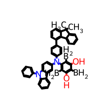 Bc1c(O)c(B)c(N(c2ccc(-c3cccc4c3-c3ccccc3C4(C)C)cc2)c2ccc3c(c2)c2ccccc2n3-c2ccccc2)c(B)c1O